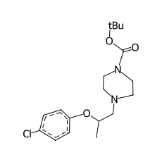 CC(CN1CCN(C(=O)OC(C)(C)C)CC1)Oc1ccc(Cl)cc1